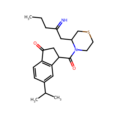 CCCC(=N)CC1CSCCN1C(=O)C1CC(=O)c2ccc(C(C)C)cc21